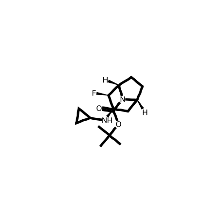 CC(C)(C)OC(=O)N1[C@@H]2CC[C@H]1[C@H](F)[C@H](NC1CC1)C2